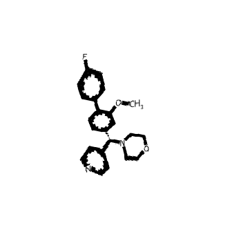 COc1cc([C@@H](c2ccncc2)N2CCOCC2)ccc1-c1ccc(F)cc1